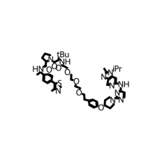 Cc1ncsc1-c1ccc(C(C)NC(=O)C2CCCN2C(=O)C(NC(=O)COCCOCCOCCc2ccc(OC3CCN(c4nccc(Nc5cc6c(cn5)nc(C)n6C(C)C)n4)CC3)cc2)C(C)(C)C)cc1